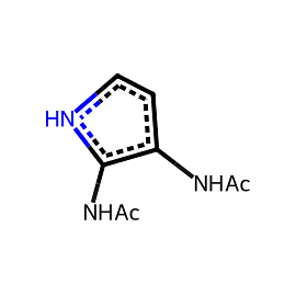 CC(=O)Nc1cc[nH]c1NC(C)=O